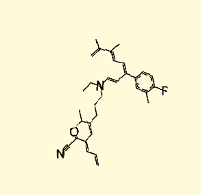 C=C/C=C(\C=C(\CCCN(/C=C/C(=C\C=C(/C)C(=C)C)c1ccc(F)c(C)c1)CC)C(C)C)C(=O)C#N